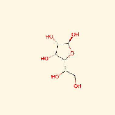 OCC(O)[C@H]1O[C@H](O)[C@@H](O)[C@H]1O